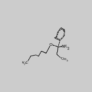 CCCCCOC(N)(CC)c1ccccc1